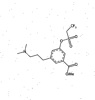 COC(=O)c1cc(CCCN(C)C)cc(OS(=O)(=O)CC(F)(F)F)c1